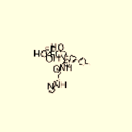 Cc1ccc(-c2ccc(C(CC(=O)O)NC(=O)CNC(=O)CCCCNc3ccccn3)cc2)cc1.O=C(O)C(F)(F)F